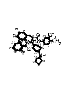 Cc1ccc(NC(=O)[C@H]2Cc3cc(F)c(F)cc3N(C(=O)c3c(C)cccc3F)C2c2ccc(NC3CCCC3)cc2)cc1C(F)(F)F